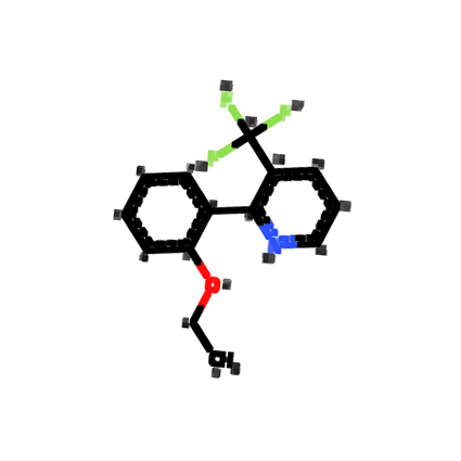 CCOc1ccccc1-c1ncccc1C(F)(F)F